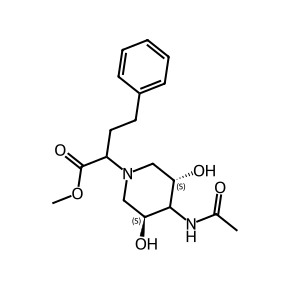 COC(=O)C(CCc1ccccc1)N1C[C@H](O)C(NC(C)=O)[C@@H](O)C1